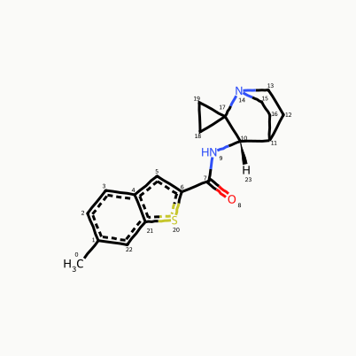 Cc1ccc2cc(C(=O)N[C@H]3C4CCN(CC4)C34CC4)sc2c1